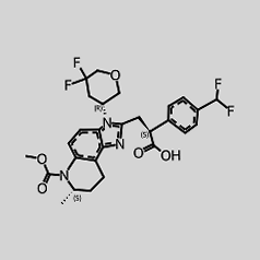 COC(=O)N1c2ccc3c(nc(C[C@H](C(=O)O)c4ccc(C(F)F)cc4)n3[C@H]3COCC(F)(F)C3)c2CC[C@@H]1C